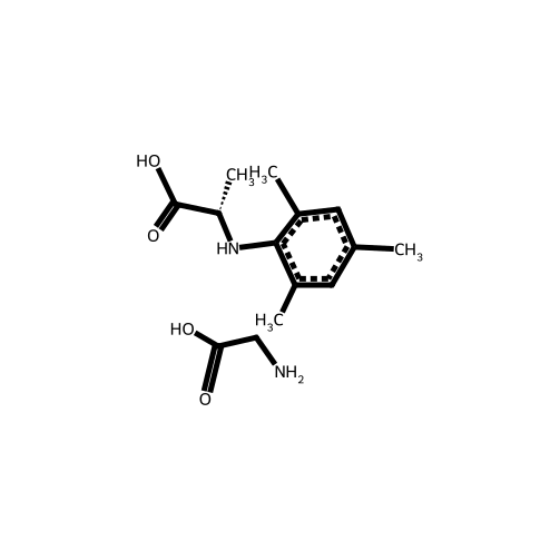 Cc1cc(C)c(N[C@@H](C)C(=O)O)c(C)c1.NCC(=O)O